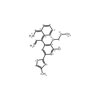 C=C/C(c1cc(-c2nc(C)cs2)nc(Cl)c1OCOC)=c1/cccc/c1=C/N